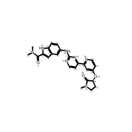 CN(C)C(=O)c1cc2cc(Nc3nccc(-c4cc(O[C@H]5CCN(C)C5=O)ccn4)n3)ccc2[nH]1